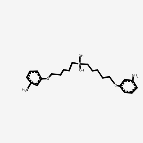 Nc1cccc(OCCCCC[Si](O)(O)CCCCCOc2cccc(N)c2)c1